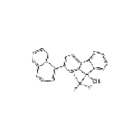 CC1(C(F)(F)F)c2ccccc2-c2ccc(-c3cccc4ccccc34)cc21